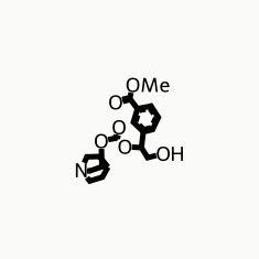 COC(=O)c1cccc(C(CO)OC(=O)OC2CN3CCC2CC3)c1